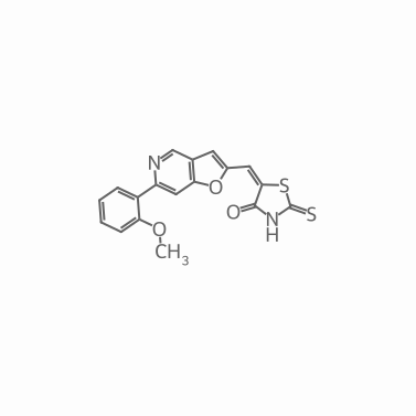 COc1ccccc1-c1cc2oc(C=C3SC(=S)NC3=O)cc2cn1